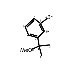 COC(C)(C)c1cccc(Br)c1